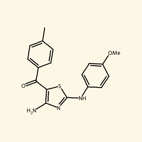 COc1ccc(Nc2nc(N)c(C(=O)c3ccc(C)cc3)s2)cc1